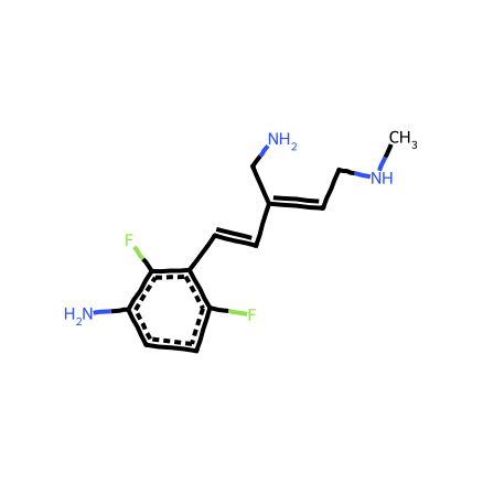 CNC/C=C(/C=Cc1c(F)ccc(N)c1F)CN